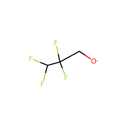 [O]CC(F)(F)C(F)F